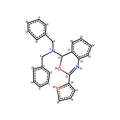 c1ccc(CN(Cc2ccccc2)C2OC(c3cccs3)=Nc3ccccc32)cc1